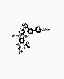 C=CC(=O)Nc1cc(Nc2cc(N3OCCC3c3cccc(-c4ccc(OC)nc4)c3)ncn2)c(OC)cc1N(C)CCN(C)C